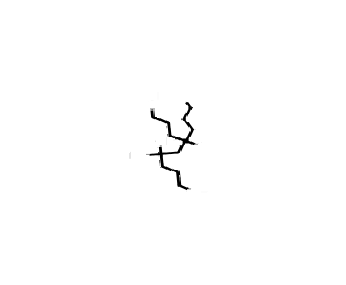 CCCCC(C)(P)CC(C)(CCCC)CCCC